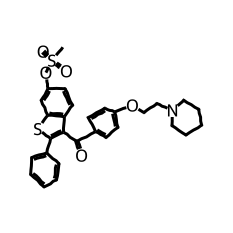 CS(=O)(=O)Oc1ccc2c(C(=O)c3ccc(OCCN4CCCCC4)cc3)c(-c3ccccc3)sc2c1